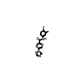 Cc1cc(NC(=O)c2cnc(-n3cncn3)cn2)ccc1F